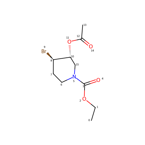 CCOC(=O)N1CC[C@@H](Br)[C@H](OC(C)=O)C1